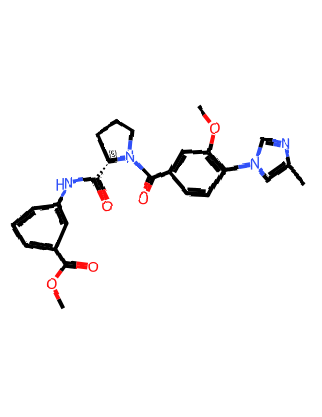 COC(=O)c1cccc(NC(=O)[C@@H]2CCCN2C(=O)c2ccc(-n3cnc(C)c3)c(OC)c2)c1